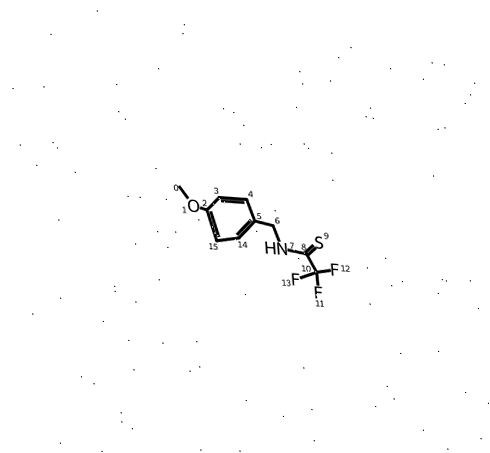 COc1ccc(CNC(=S)C(F)(F)F)cc1